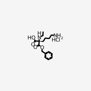 CCN[C@@](CCCCN)(C(=O)O)C(=O)OCc1ccccc1.Cl